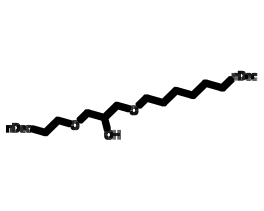 CCCCCCCCCCCCCCCCOCC(O)COCCCCCCCCCCCC